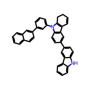 C1=Cc2c(n(-c3cccc(-c4ccc5ccccc5c4)c3)c3ccc(-c4ccc5[nH]c6ccccc6c5c4)cc23)CC1